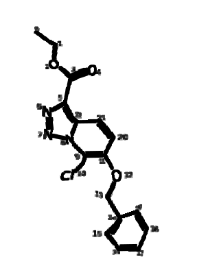 CCOC(=O)c1nnn2c(Cl)c(OCc3ccccc3)ccc12